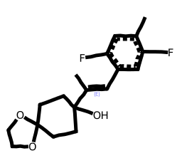 C/C(=C\c1cc(F)c(C)cc1F)C1(O)CCC2(CC1)OCCO2